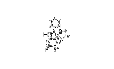 OC(c1ccccn1)C1(c2ccc(F)c(F)c2)CCCO1